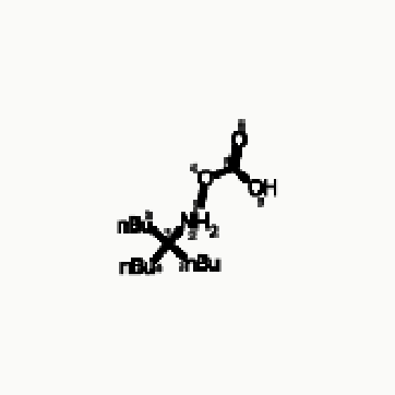 CCCCC(N)(CCCC)CCCC.COC(=O)O